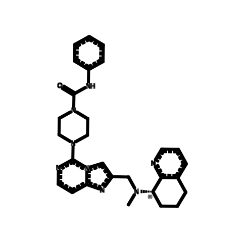 CN(Cc1cn2c(N3CCN(C(=O)Nc4ccccc4)CC3)nccc2n1)[C@H]1CCCc2cccnc21